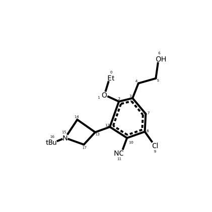 CCOc1c(CCO)cc(Cl)c(C#N)c1C1CN(C(C)(C)C)C1